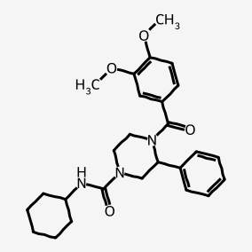 COc1ccc(C(=O)N2CCN(C(=O)NC3CCCCC3)CC2c2ccccc2)cc1OC